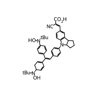 CC(C)(C)N(O)c1ccc(C(=Cc2ccc(N3c4ccc(/C=C(\C#N)C(=O)O)cc4C4CCCC43)cc2)C2=CCC(N(O)C(C)(C)C)C=C2)cc1